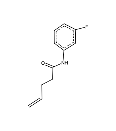 C=CCCC(=O)Nc1cccc(F)c1